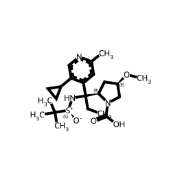 CCC(N[S@+]([O-])C(C)(C)C)(c1cc(C)ncc1C1CC1)[C@H]1C[C@@H](OC)CN1C(=O)O